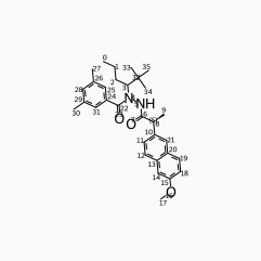 CCCC(N(NC(=O)[C@@H](C)c1ccc2cc(OC)ccc2c1)C(=O)c1cc(C)cc(C)c1)C(C)(C)C